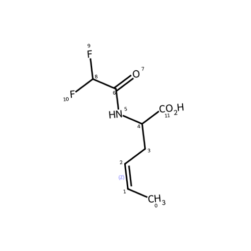 C/C=C\CC(NC(=O)C(F)F)C(=O)O